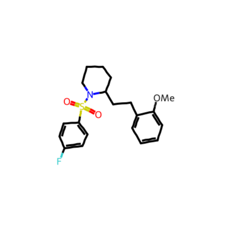 COc1ccccc1CCC1CCCCN1S(=O)(=O)c1ccc(F)cc1